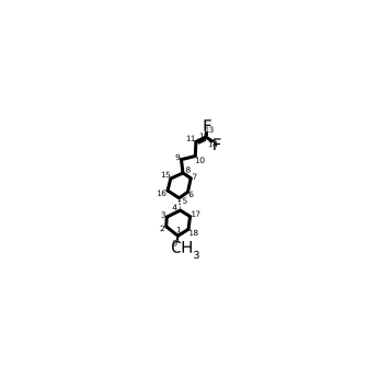 C[C@H]1CC[C@H](C2CCC(CCC=C(F)F)CC2)CC1